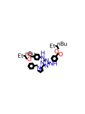 CCCCC(CC)COC(=O)c1ccc(Nc2nc(Nc3ccc(C(=O)OCC(CC)CCCC)cc3)nc(-c3cccn3Cc3ccccc3)n2)cc1